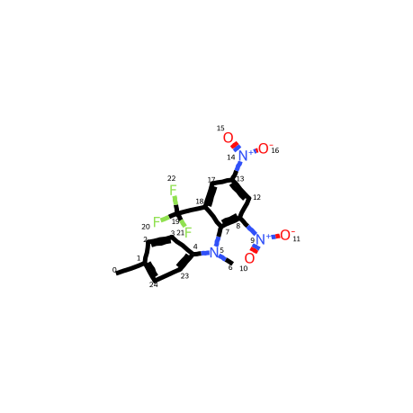 Cc1ccc(N(C)c2c([N+](=O)[O-])cc([N+](=O)[O-])cc2C(F)(F)F)cc1